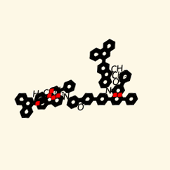 CC1(C)c2cc(-c3cc4ccccc4c4ccccc34)ccc2-c2ccc(N(c3ccc4oc5cc(-c6ccc(-c7ccc(-c8ccccc8)cc7)c(N(c7ccc8c(c7)C(C)(C)c7cc(-c9cc%10ccccc%10c%10ccccc9%10)ccc7-8)c7cccc8c7oc7ccccc78)c6)ccc5c4c3)c3ccccc3-c3ccc(-c4ccccc4)cc3)cc21